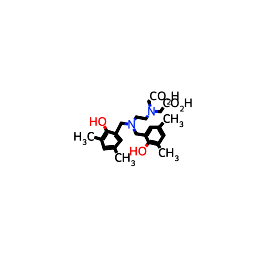 Cc1cc(C)c(O)c(CN(CCN(CC(=O)O)CC(=O)O)Cc2cc(C)cc(C)c2O)c1